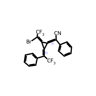 N#C/C(=C1\C(=C(Br)C(F)(F)F)\C1=C(/c1ccccc1)C(F)(F)F)c1ccccc1